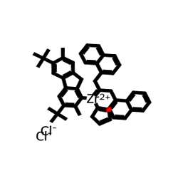 Cc1cc2c(cc1C(C)(C)C)-c1cc(C(C)(C)C)c(C)[c]([Zr+2]([C]3=CC=CC3)=[C](Cc3cccc4ccccc34)Cc3cccc4ccccc34)c1C2.[Cl-].[Cl-]